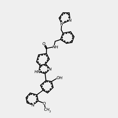 COc1ncccc1-c1ccc(O)c(-c2nc3cc(C(=O)NCc4ccccc4Cn4cccn4)ccc3[nH]2)c1